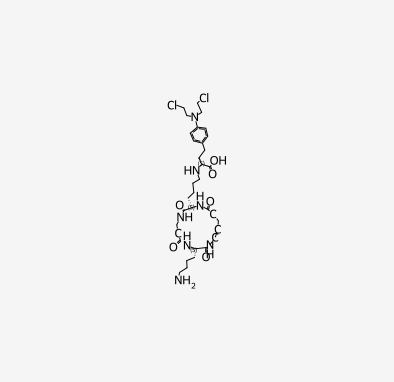 NCCCC[C@@H]1NC(=O)CCNC(=O)[C@H](CCCCN[C@@H](CCc2ccc(N(CCCl)CCCl)cc2)C(=O)O)NC(=O)CCCCNC1=O